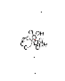 Oc1ccc(C2(c3cc(Cl)c(O)c(Cl)c3)CCCCCCCCCCC2)cc1Cl